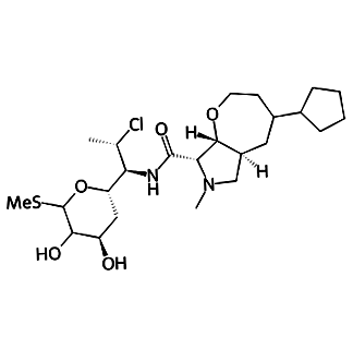 CSC1O[C@H]([C@H](NC(=O)[C@@H]2[C@@H]3OCCC(C4CCCC4)C[C@H]3CN2C)[C@H](C)Cl)C[C@@H](O)C1O